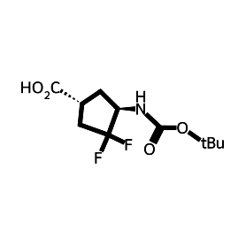 CC(C)(C)OC(=O)N[C@@H]1C[C@@H](C(=O)O)CC1(F)F